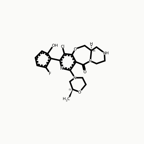 C[C@H]1CN(c2nc(-c3c(O)cccc3F)c(Cl)c3c2C(=O)N2CCNC[C@@H]2CO3)CCO1